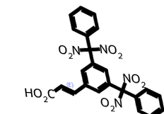 O=C(O)/C=C/c1cc(C(c2ccccc2)([N+](=O)[O-])[N+](=O)[O-])cc(C(c2ccccc2)([N+](=O)[O-])[N+](=O)[O-])c1